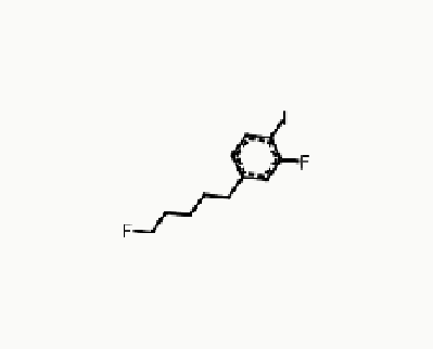 FCCCCCc1ccc(I)c(F)c1